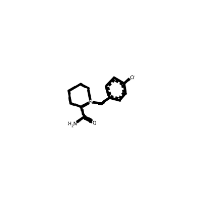 NC(=O)C1C[CH]CCN1Cc1ccc(Cl)cc1